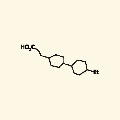 CCC1CCC(C2CCC(CCC(=O)O)CC2)CC1